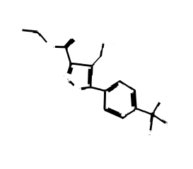 BCc1c(C(=O)OCC)noc1-c1ccc(C(F)(F)F)cc1